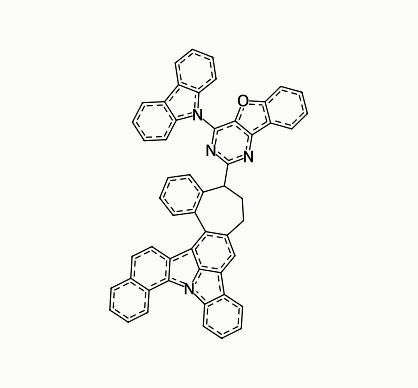 c1ccc2c(c1)-c1c(cc3c4ccccc4n4c5c6ccccc6ccc5c1c34)CCC2c1nc(-n2c3ccccc3c3ccccc32)c2oc3ccccc3c2n1